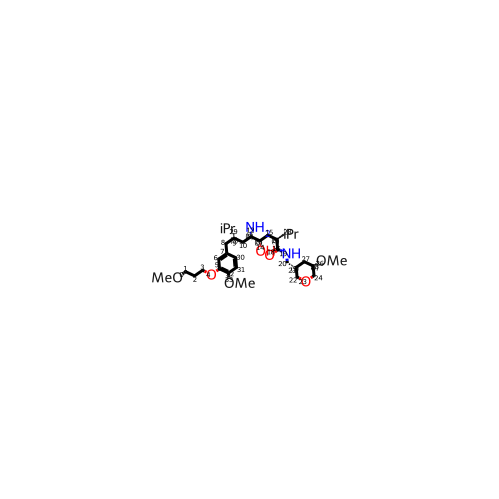 COCCCOc1cc(C[C@@H](C[C@H](N)[C@@H](O)C[C@H](C(=O)NC[C@H]2COC[C@@H](OC)C2)C(C)C)C(C)C)ccc1OC